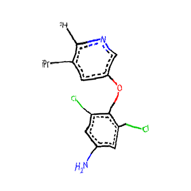 [2H]c1ncc(Oc2c(Cl)cc(N)cc2Cl)cc1C(C)C